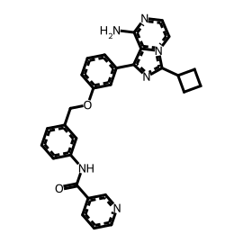 Nc1nccn2c(C3CCC3)nc(-c3cccc(OCc4cccc(NC(=O)c5cccnc5)c4)c3)c12